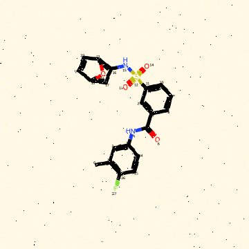 Cc1cc(NC(=O)c2cccc(S(=O)(=O)Nc3cc4ccc3o4)c2)ccc1F